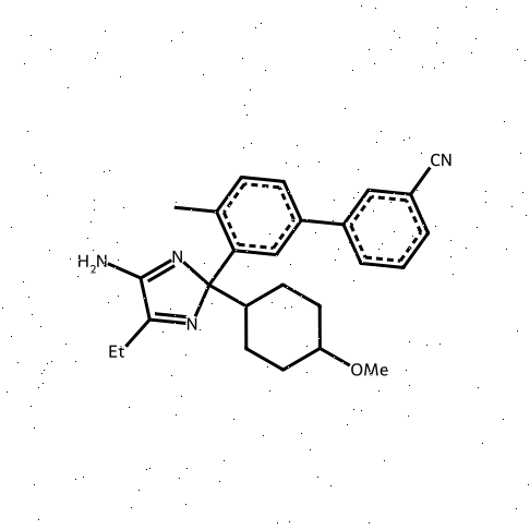 CCC1=NC(c2cc(-c3cccc(C#N)c3)ccc2C)(C2CCC(OC)CC2)N=C1N